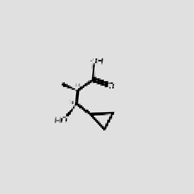 C[C@@H](C(=O)O)[C@H](O)C1CC1